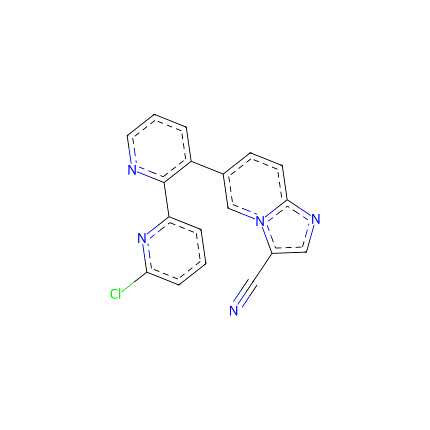 N#Cc1cnc2ccc(-c3cccnc3-c3cccc(Cl)n3)cn12